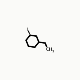 CCC1CCC[C@@H](I)C1